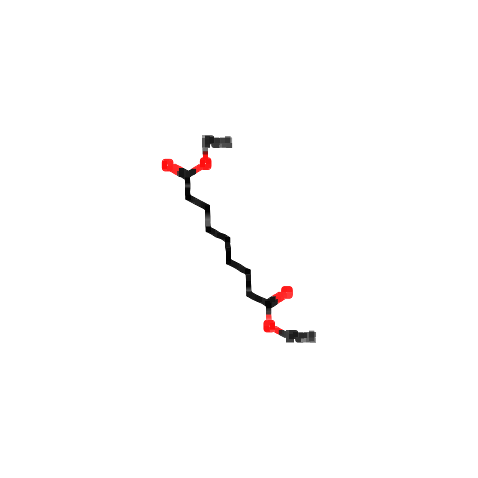 CCCC(C)OC(=O)CCCCCCCC(=O)OC(C)CCC